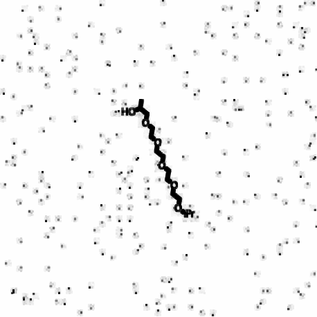 CC(O)COCCOCCOCCOCCOC(C)C